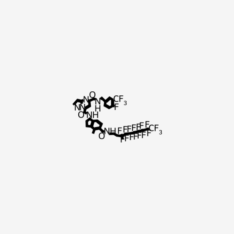 Cc1c(C(=O)NCCCC(F)(F)C(F)(F)C(F)(F)C(F)(F)C(F)(F)C(F)(F)C(F)(F)C(F)(F)F)ccc2c1CC[C@@H]2NC(=O)c1cc(C(=O)NCc2ccc(F)c(C(F)(F)F)c2)nc2ccnn12